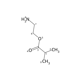 CC(C)C(=O)OCCN